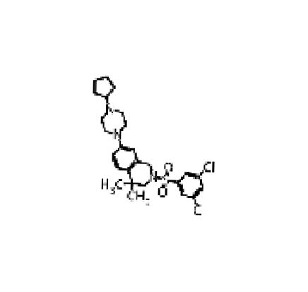 CC1(C)CN(S(=O)(=O)c2cc(Cl)cc(Cl)c2)Cc2cc(N3CCN(C4CCCC4)CC3)ccc21